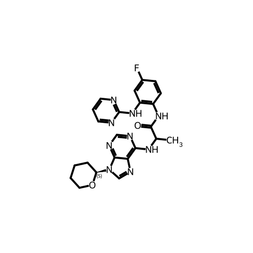 CC(Nc1ncnc2c1ncn2[C@@H]1CCCCO1)C(=O)Nc1ccc(F)cc1Nc1ncccn1